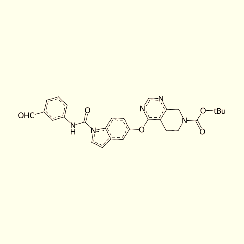 CC(C)(C)OC(=O)N1CCc2c(ncnc2Oc2ccc3c(ccn3C(=O)Nc3cccc(C=O)c3)c2)C1